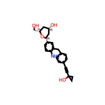 Nc1ccc([C@H]2C[C@@H](O)C[C@@H](CO)O2)cc1Cc1ccc(C#CC2(O)CC2)cc1